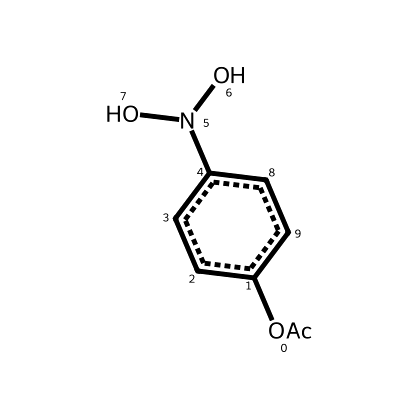 CC(=O)Oc1ccc(N(O)O)cc1